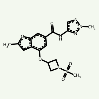 Cc1cc2c(OC3CN(S(C)(=O)=O)C3)cc(C(=O)Nc3cnn(C)n3)cc2o1